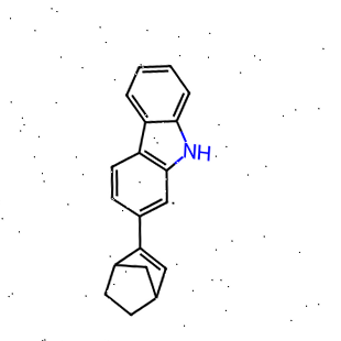 [c]1c(C2=CC3CCC2C3)ccc2c1[nH]c1ccccc12